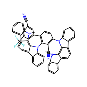 Cn1c2ccccc2c2ccc3c4ccccc4n(-c4ccc(-c5cc(C#N)cc(C(F)(F)F)c5)c(-n5c6ccccc6c6ccc7c8ccccc8n(C)c7c65)c4C#N)c3c21